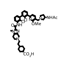 COc1nc(-c2cccc(-c3cccc(NC(=O)c4nc5c(n4C)CCN(CCC4CCC(C(=O)O)CC4)C5)c3Cl)c2Cl)ccc1CN1CC[C@@H](NC(C)=O)C1